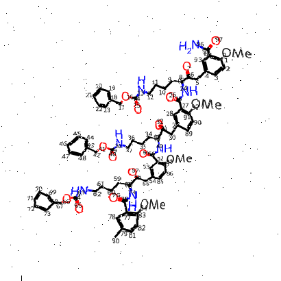 COc1ccc(CC(=O)[C@H](CCCCNC(=O)OCc2ccccc2)NC(=O)c2cc(CC(=O)[C@H](CCCCNC(=O)OCc3ccccc3)NC(=O)c3cc(CC(=O)[C@H](CCCCNC(=O)OCc4ccccc4)NC(=O)c4cc(C)ccc4OC)ccc3OC)ccc2OC)cc1C(N)=O